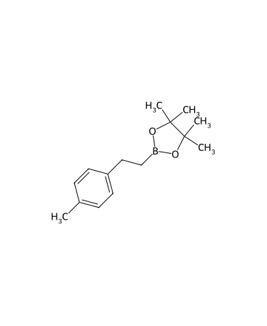 Cc1ccc(CCB2OC(C)(C)C(C)(C)O2)cc1